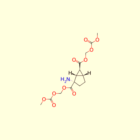 COC(=O)OCOC(=O)[C@H]1[C@@H]2CC[C@@](N)(C(=O)OCOC(=O)OC)[C@@H]21